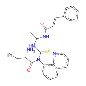 CC(C)C[C@H](N)C(=O)N(C(=S)NC(C)NC(=O)/C=C/c1ccccc1)c1cccc2cccnc12